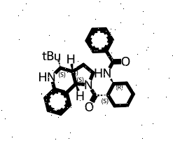 CC(C)(C)[C@H]1Nc2ccccc2[C@@H]2[C@H]1CCN2C(=O)[C@H]1CCCC[C@H]1NC(=O)c1ccccc1